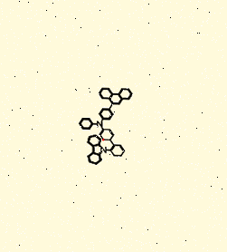 C1=CC(C2C=CC(N(c3ccccc3)c3ccc(-c4cc5ccccc5c5ccccc45)cc3)=CC2)=C(n2c3ccccc3c3ccccc32)CC1